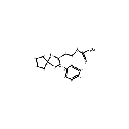 CC(C)(C)C(=O)OCC[C@@H]1OC2(CCCC2)O[C@H]1c1ccccc1